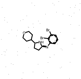 Brc1cccc(N=C2CCC(C3CCOCC3)N2)c1Br